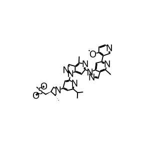 COc1ccncc1-c1cc2c(cnn2-c2cc3c(cnn3-c3cc(N4C[C@H](CS(C)(=O)=O)[C@H]4C)cc(C(C)C)n3)c(C)n2)c(C)n1